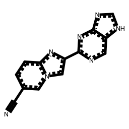 N#Cc1ccc2nc(-c3ncc4[nH]cnc4n3)cn2c1